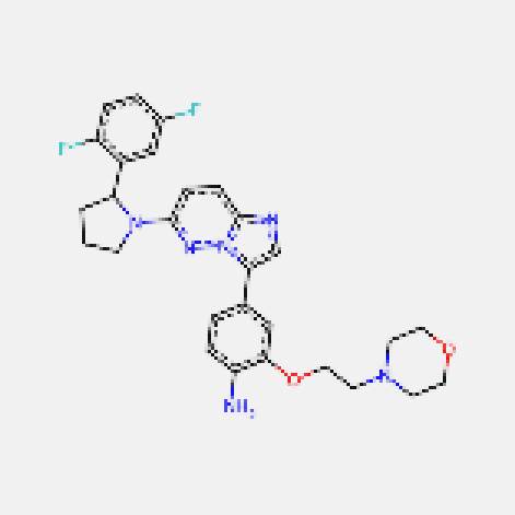 Nc1ccc(-c2cnc3ccc(N4CCCC4c4cc(F)ccc4F)nn23)cc1OCCN1CCOCC1